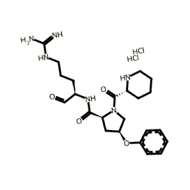 Cl.Cl.N=C(N)NCCC[C@H](C=O)NC(=O)[C@@H]1C[C@H](Oc2ccccc2)CN1C(=O)[C@H]1CCCCN1